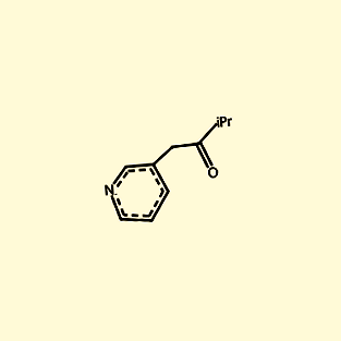 CC(C)C(=O)Cc1cccnc1